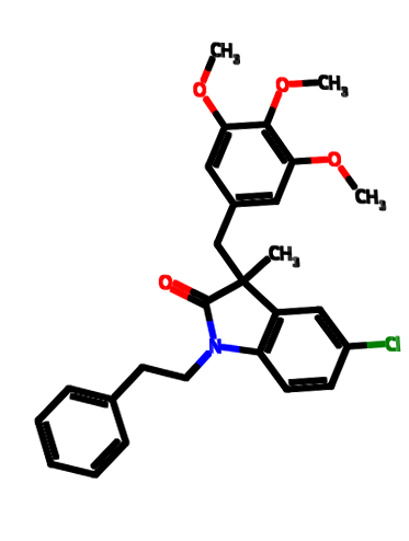 COc1cc(CC2(C)C(=O)N(CCc3ccccc3)c3ccc(Cl)cc32)cc(OC)c1OC